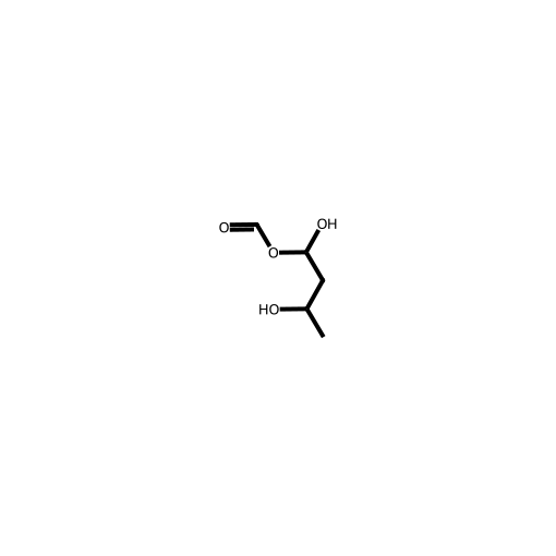 CC(O)CC(O)OC=O